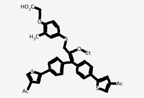 CCOC(CSc1ccc(OCC(=O)O)c(C)c1)=C(c1ccc(-c2cc(C(C)=O)cs2)cc1)c1ccc(-c2cc(C(C)=O)cs2)cc1